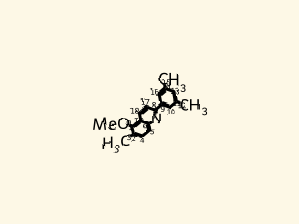 COc1c(C)ccc2nc(-c3cc(C)cc(C)c3)ccc12